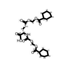 O=C(N[C@@H](CSC(=O)OCOC(=O)C1CCCCC1)C(=O)O)OCOC(=O)C1CCCCC1